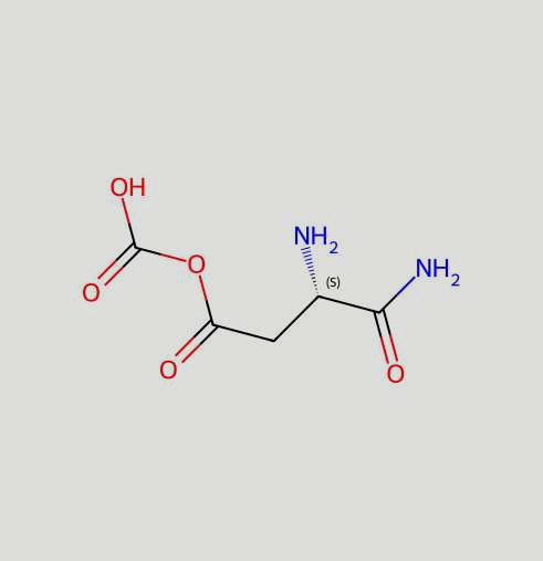 NC(=O)[C@@H](N)CC(=O)OC(=O)O